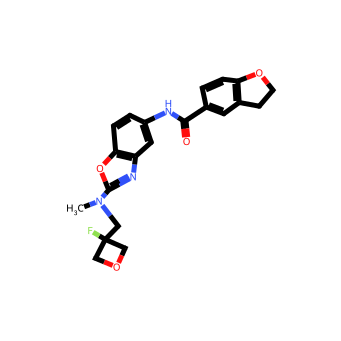 CN(CC1(F)COC1)c1nc2cc(NC(=O)c3ccc4c(c3)CCO4)ccc2o1